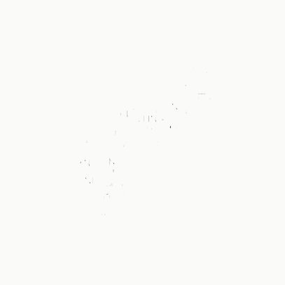 CCNc1nc(C)c(Sc2cccc(NC(=O)NSc3ccccc3)c2Cl)nc1C(=O)OCC